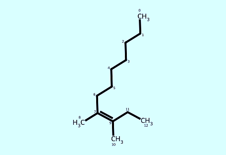 CCCCCCCC(C)=C(C)CC